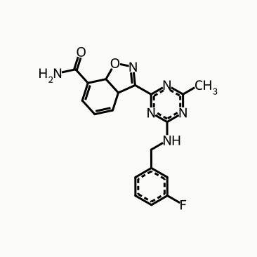 Cc1nc(NCc2cccc(F)c2)nc(C2=NOC3C(C(N)=O)=CC=CC23)n1